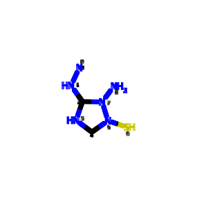 [N]NC1NCN(S)N1N